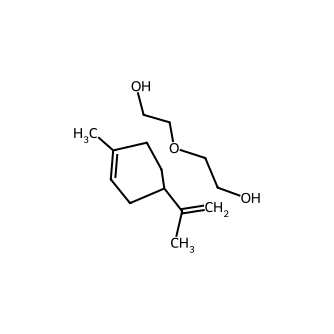 C=C(C)C1CC=C(C)CC1.OCCOCCO